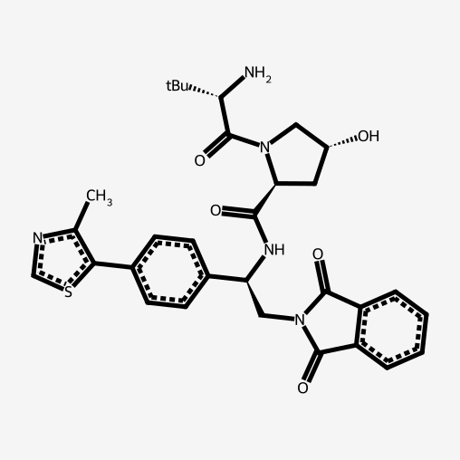 Cc1ncsc1-c1ccc([C@H](CN2C(=O)c3ccccc3C2=O)NC(=O)[C@@H]2C[C@@H](O)CN2C(=O)[C@@H](N)C(C)(C)C)cc1